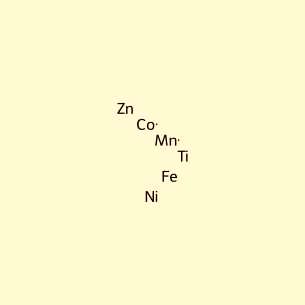 [Co].[Fe].[Mn].[Ni].[Ti].[Zn]